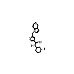 N=C(NC1CCCNC1)c1csc(Cn2ccc3cnccc32)c1